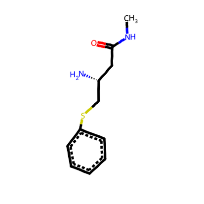 CNC(=O)C[C@@H](N)CSc1ccccc1